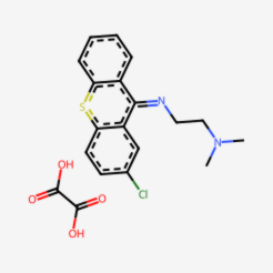 CN(C)CCN=c1c2ccccc2sc2ccc(Cl)cc12.O=C(O)C(=O)O